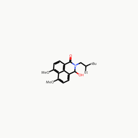 CCCCC(CC)CN1C(=O)c2ccc(OC)c3c(OC)ccc(c23)C1O